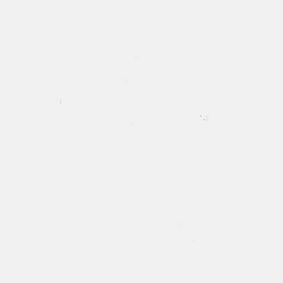 O=C(O)CS(=O)(=O)c1cc(NS(=O)(=O)c2ccc(C(=O)O)cc2)c2ccccc2c1O